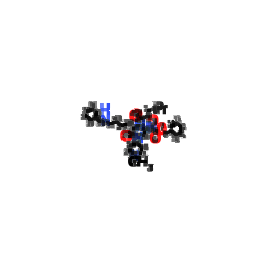 CC(C)C[C@H]1ON(C(=O)OCc2ccccc2)C2CN(C3CCN(C)CC3)C(=O)[C@H](CCCCNCc3ccccc3)N2C1=O